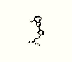 CN(C)CCn1cnc(-c2cc3nccc(Cl)c3s2)c1